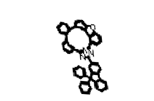 c1ccc(C2(c3ccccc3)c3ccccc3-c3ccc(-c4nc5nc(n4)c4cccc6oc7ccc(cc7c64)c4ccccc4c4cccc5c4)cc32)cc1